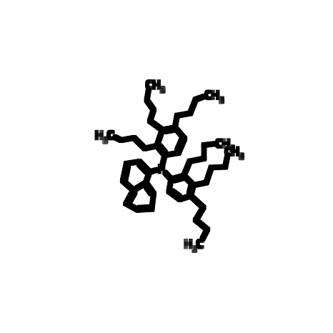 CCCCc1ccc(P(c2ccc(CCCC)c(CCCC)c2CCCC)c2cccc3ccccc23)c(CCCC)c1CCCC